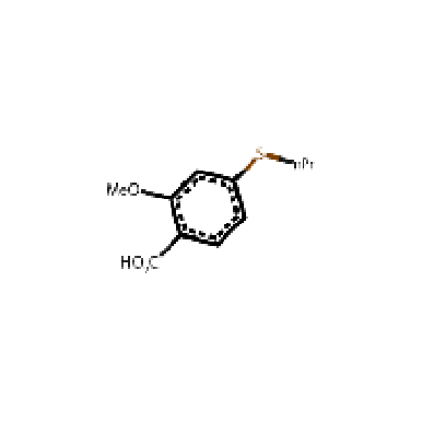 CCCSc1ccc(C(=O)O)c(OC)c1